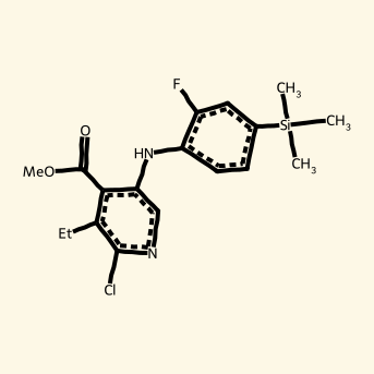 CCc1c(Cl)ncc(Nc2ccc([Si](C)(C)C)cc2F)c1C(=O)OC